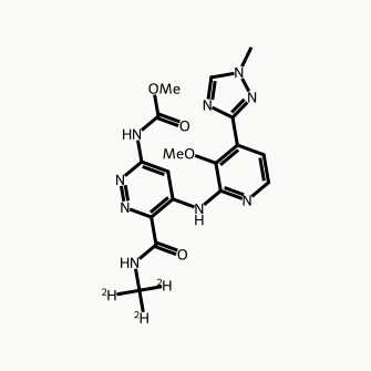 [2H]C([2H])([2H])NC(=O)c1nnc(NC(=O)OC)cc1Nc1nccc(-c2ncn(C)n2)c1OC